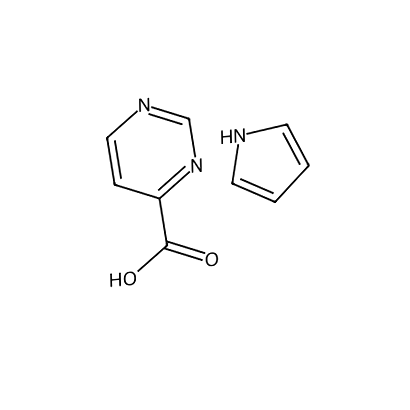 O=C(O)c1ccncn1.c1cc[nH]c1